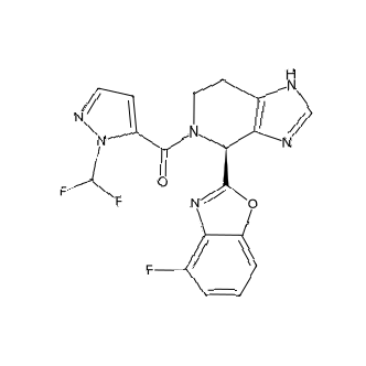 O=C(c1ccnn1C(F)F)N1CCc2[nH]cnc2[C@H]1c1nc2c(F)cccc2o1